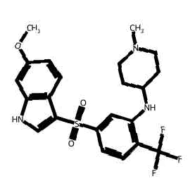 COc1ccc2c(S(=O)(=O)c3ccc(C(F)(F)F)c(NC4CCN(C)CC4)c3)c[nH]c2c1